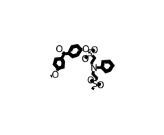 COc1ccc(C(=O)c2ccc(OS(=O)(=O)CCN(CCS(C)(=O)=O)c3ccccc3)cc2)cc1